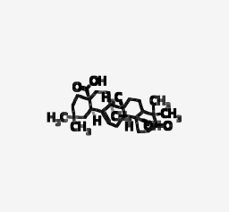 CC1(C)CC[C@]2(C(=O)O)CC[C@]3(C)C(=CC[C@@H]4[C@@]5(CO)CCC(=O)C(C)(C)C5CC[C@]43C)[C@H]2C1